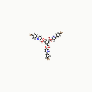 O=C(Oc1ccc(-c2ccc(Br)cc2)nc1)C1CC(C(=O)Oc2ccc(-c3ccc(Br)cc3)nc2)CC(C(=O)Oc2ccc(-c3ccc(Br)cc3)nc2)C1